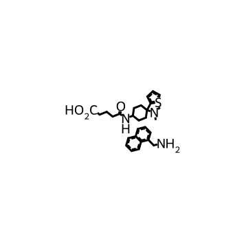 CN(C)C1(c2cccs2)CCC(NC(=O)CCCC(=O)O)CC1.NCc1cccc2ccccc12